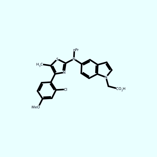 CCCN(c1ccc2c(ccn2CC(=O)O)c1)c1nc(-c2ccc(OC)cc2Cl)c(C)s1